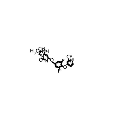 CC1(C)Cn2c(cc(OCc3cc(F)c(Oc4ccnc(C(F)(F)F)c4)c(F)c3)nc2=O)N1